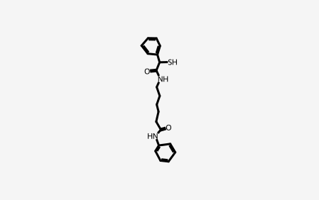 O=C(CCCCCNC(=O)C(S)c1ccccc1)Nc1ccccc1